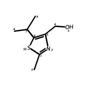 Cc1nc(CO)c(C(C)C)s1